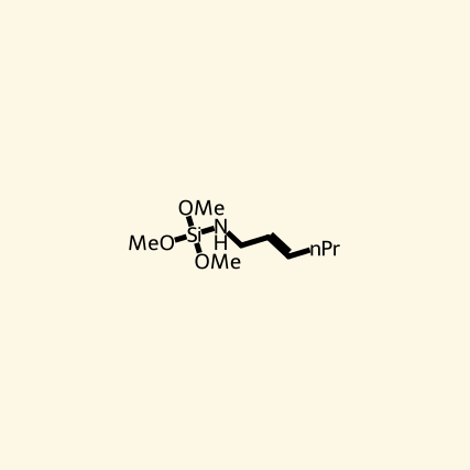 CCCC=CCN[Si](OC)(OC)OC